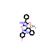 C[C@@H](c1ccccc1)[C@@H](c1nc2ccc(I)cc2[nH]1)N1C(=O)NC(c2ccccc2)C1=O